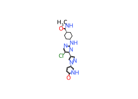 CNC(=O)[C@H]1CC[C@H](Nc2ncc(Cl)c(-c3cnn(-c4ccc(=O)[nH]c4)c3)n2)CC1